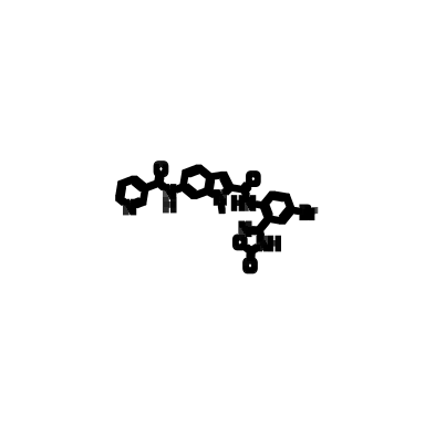 Cn1c(C(=O)Nc2ccc(Br)cc2-c2noc(=O)[nH]2)cc2ccc(NC(=O)c3cccnc3)cc21